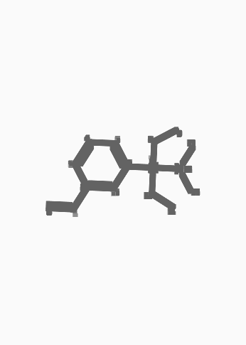 C=Cc1cccc([Si](CC)(CC)N(C)C)c1